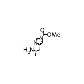 COC(=O)n1cnc(C[C@@H](C)N)c1